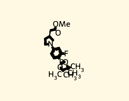 COC(=O)C[C@@H]1CCN(c2ccc(B3OC(C)(C)C(C)(C)O3)c(F)c2)C1